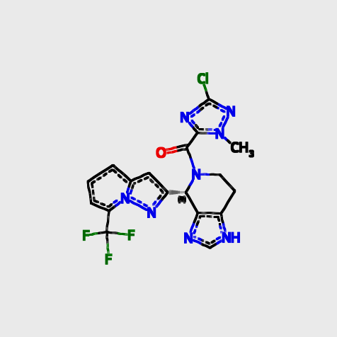 Cn1nc(Cl)nc1C(=O)N1CCc2[nH]cnc2[C@@H]1c1cc2cccc(C(F)(F)F)n2n1